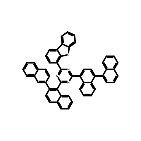 c1ccc2cc(-c3ccc4ccccc4c3-c3nc(-c4ccc(-c5cccc6ccccc56)c5ccccc45)nc(-c4cccc5c4oc4ccccc45)n3)ccc2c1